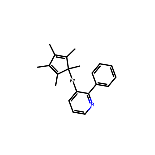 CC1=C(C)[C](C)([Rh][c]2cccnc2-c2ccccc2)C(C)=C1C